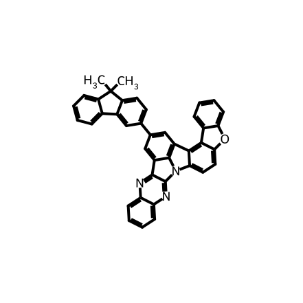 CC1(C)c2ccccc2-c2cc(-c3cc4c5nc6ccccc6nc5n5c6ccc7oc8ccccc8c7c6c(c3)c45)ccc21